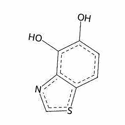 Oc1ccc2scnc2c1O